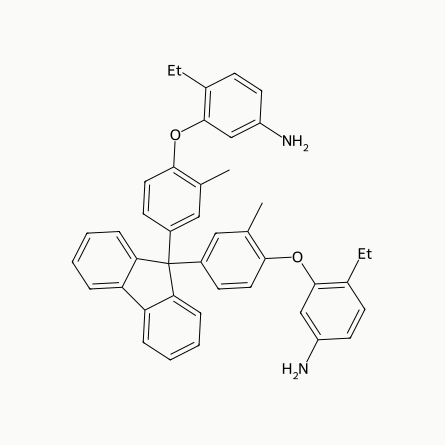 CCc1ccc(N)cc1Oc1ccc(C2(c3ccc(Oc4cc(N)ccc4CC)c(C)c3)c3ccccc3-c3ccccc32)cc1C